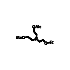 CCOCCN(CCOC)CCOC